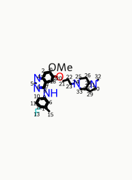 COc1cc2ncnc(Nc3ccc(F)c(C)c3)c2cc1OCCCN1CCC2C(CCN2C)C1